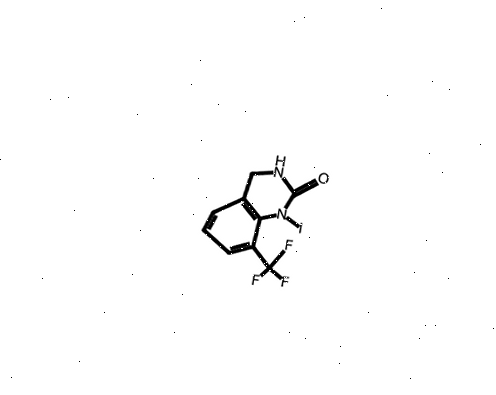 O=C1NCc2cccc(C(F)(F)F)c2N1I